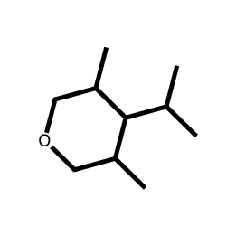 CC(C)C1C(C)COCC1C